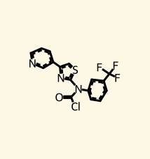 O=C(Cl)N(c1cccc(C(F)(F)F)c1)c1nc(-c2cccnc2)cs1